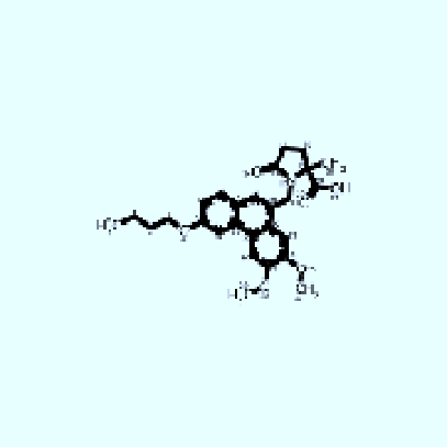 CCCCOc1ccc2cc(CN3C(=O)CCC3(C)C(=O)O)c3cc(OC)c(OC)cc3c2c1